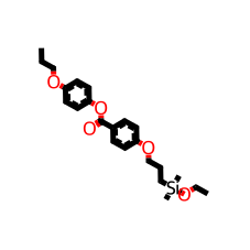 CCCOc1ccc(OC(=O)c2ccc(OCCC[Si](C)(C)OCC)cc2)cc1